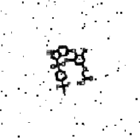 O=C(O)COc1cc(Br)c(Oc2ccc3[nH]cc(S(=O)(=O)c4ccc(C(F)(F)F)cc4)c3c2)c(Br)c1